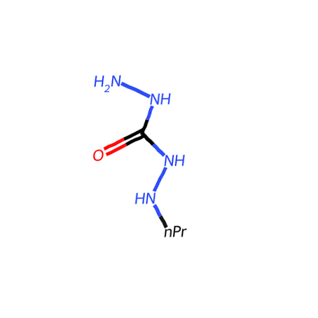 CCCNNC(=O)NN